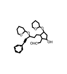 O=CCC1C(O)CC(OC2CCCCO2)C1CCC(C#Cc1ccccc1)OC1CCCCO1